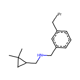 CC(C)Cc1cccc(CNCC2CC2(C)C)c1